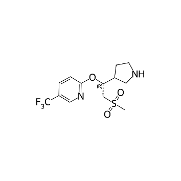 CS(=O)(=O)C[C@H](Oc1ccc(C(F)(F)F)cn1)C1CCNC1